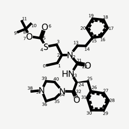 CCC(CSC(=O)OC(C)(C)C)N(CCc1ccccc1)C(=O)N[C@@H](Cc1ccccc1)C(=O)N1CCN(C)CC1